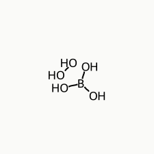 OB(O)O.OO